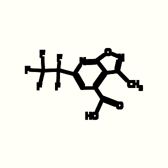 Cc1noc2nc(C(F)(F)C(F)(F)F)cc(C(=O)O)c12